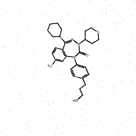 Cc1ccc2c(c1)N(c1ccc(CCCO)cc1)C(=O)N(C1CCOCC1)N=C2C1CCCCC1